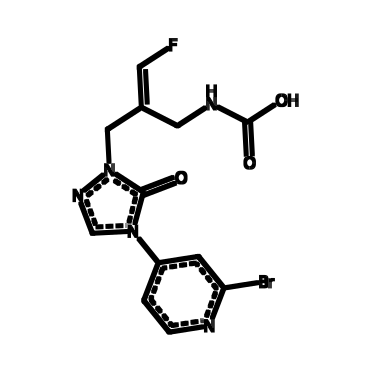 O=C(O)NC/C(=C\F)Cn1ncn(-c2ccnc(Br)c2)c1=O